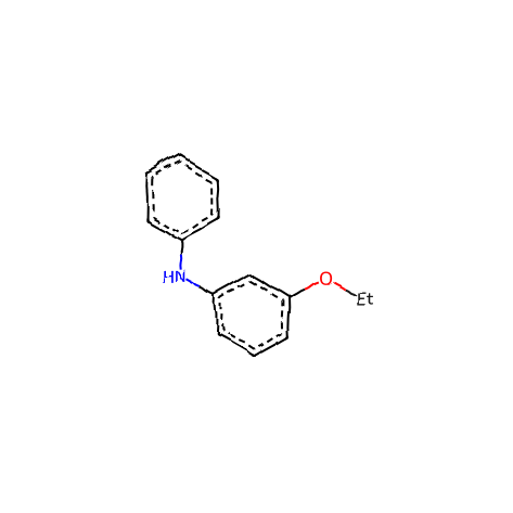 CCOc1cccc(Nc2ccccc2)c1